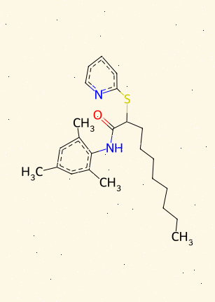 CCCCCCCCC(Sc1ccccn1)C(=O)Nc1c(C)cc(C)cc1C